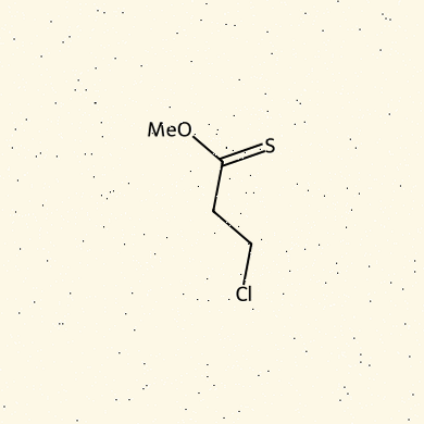 COC(=S)CCCl